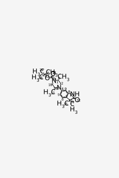 C[C@@H]1CN(c2ccc3c(c2)NC(=O)C3(C)C)[C@H](C)CN1C(=O)OC(C)(C)C